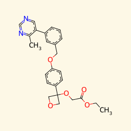 CCOC(=O)COC1(c2ccc(OCc3cccc(-c4cncnc4C)c3)cc2)COC1